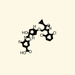 O=C(O)c1cc(F)c2nc([C@]3(O)C[C@H]4C[C@@H]3CC4OCc3c(-c4c(Cl)cccc4Cl)noc3C3CC3)sc2c1